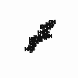 CCc1cc(O)c(F)cc1-c1ccc2c(-c3nc4c([nH]3)CNC(C(=O)OC3CCNC3)C4)n[nH]c2c1